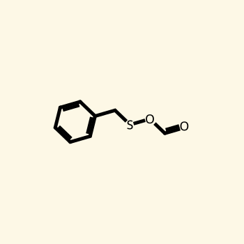 O=COSCc1ccccc1